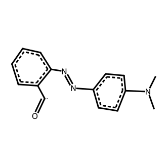 CN(C)c1ccc(N=Nc2ccccc2[C]=O)cc1